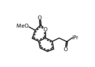 COc1cc2cccc(CC(=O)C(C)C)c2oc1=O